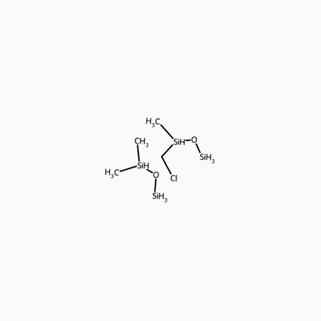 C[SiH](C)O[SiH3].C[SiH](CCl)O[SiH3]